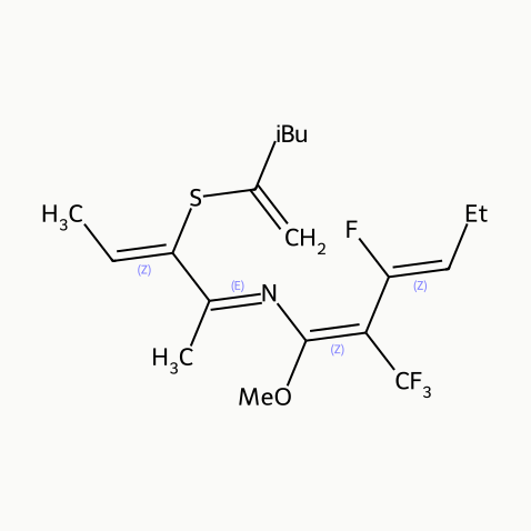 C=C(SC(=C\C)/C(C)=N/C(OC)=C(\C(F)=C\CC)C(F)(F)F)C(C)CC